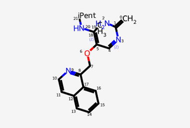 C=C(N)/N=C\C(OCc1nccc2ccccc12)=C(/C)NC(C)CCC